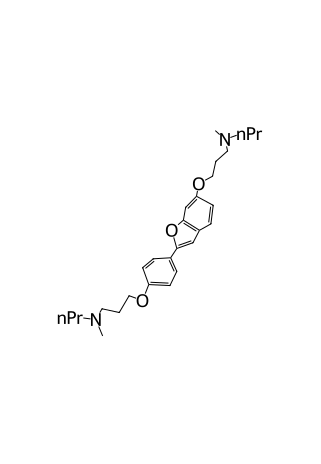 CCCN(C)CCCOc1ccc(-c2cc3ccc(OCCCN(C)CCC)cc3o2)cc1